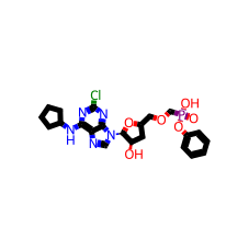 O=P(O)(COCC1C[C@@H](O)[C@H](n2cnc3c(NC4CCCC4)nc(Cl)nc32)O1)Oc1ccccc1